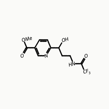 COC(=O)c1ccc(C(O)CCNC(=O)C(F)(F)F)nc1